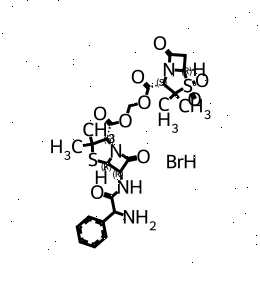 Br.CC1(C)S[C@@H]2[C@H](NC(=O)C(N)c3ccccc3)C(=O)N2[C@H]1C(=O)OCOC(=O)[C@@H]1N2C(=O)C[C@H]2S(=O)(=O)C1(C)C